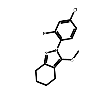 CSc1c2c(nn1-c1ccc(Cl)cc1F)CCCC2